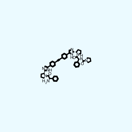 N[C@@H](C(=O)N1CCC[C@H]1c1ncc(-c2ccc(C#Cc3ccc(-c4cnc([C@@H]5CCCN5C(=O)[C@H](NC(=O)N5CCCC5)c5ccccc5)[nH]4)cc3)cc2)[nH]1)c1ccccc1